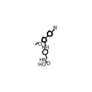 CCOc1ccc(-c2ccc(C#N)cc2)cc1CNC1CCC(CNC(=O)O)CC1